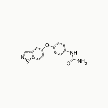 NC(=O)Nc1ccc(Oc2ccc3sncc3c2)cc1